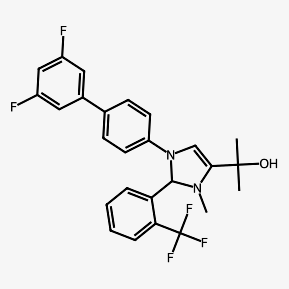 CN1C(C(C)(C)O)=CN(c2ccc(-c3cc(F)cc(F)c3)cc2)C1c1ccccc1C(F)(F)F